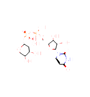 O=c1ccn([C@@H]2O[C@H](COP(=O)(O)OP(=O)(O)O[C@H]3OC[C@H](O)[C@H](O)[C@H]3O)[C@@H](O)[C@H]2O)c(=O)[nH]1